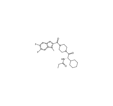 C[CH]C(=O)N[C@H](C(=O)N1CCN(C(=O)c2cc3cc(F)c(F)cc3n2C)CC1)C1CCCCC1